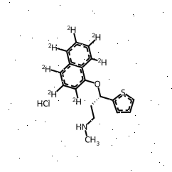 Cl.[2H]c1c([2H])c([2H])c2c(O[C@@H](CCNC)c3cccs3)c([2H])c([2H])c([2H])c2c1[2H]